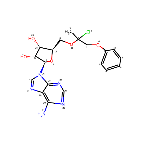 CC(Cl)(COc1ccccc1)OC[C@H]1O[C@@H](n2cnc3c(N)ncnc32)[C@H](O)[C@@H]1O